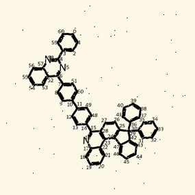 c1ccc(-c2nc(-c3ccc(-c4ccc(-c5nc6ccccc6c6c7c(ccc56)C(c5ccccc5)(c5ccccc5)c5ccccc5-7)cc4)cc3)c3ccccc3n2)cc1